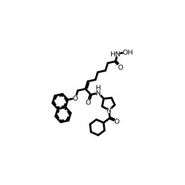 O=C(CCCCC=C(COc1cccc2ccccc12)C(=O)NC1CCN(C(=O)C2CCCCC2)C1)NO